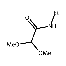 CCNC(=O)[C](OC)OC